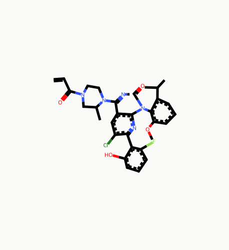 C=CC(=O)N1CCN(/C(=N/C)c2cc(Cl)c(-c3c(O)cccc3F)nc2N(C=O)c2c(OC)cccc2C(C)C)C(C)C1